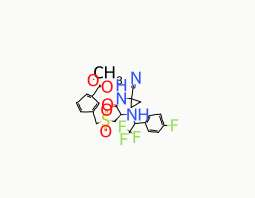 COC(=O)c1cccc(CS(=O)(=O)C[C@H](N[C@@H](c2ccc(F)cc2)C(F)(F)F)C(=O)NC2(C#N)CC2)c1